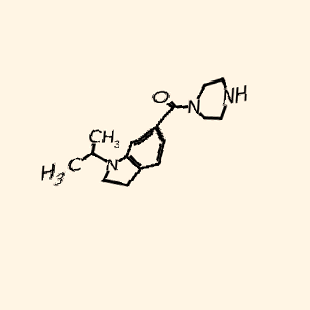 CC(C)N1CCc2ccc(C(=O)N3CCNCC3)cc21